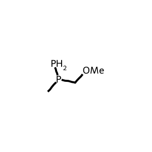 COCP(C)P